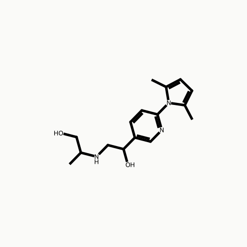 Cc1ccc(C)n1-c1ccc(C(O)CNC(C)CO)cn1